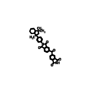 CC1(C)CC(C)(c2ccc(N3C(=O)c4ccc(C(=O)c5ccc6c(c5)C(=O)NC6=O)cc4C3=O)cc2)C2=C1C=CCC2